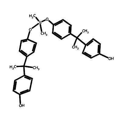 CC(C)(c1ccc(O)cc1)c1ccc(O[Si](C)(C)Oc2ccc(C(C)(C)c3ccc(O)cc3)cc2)cc1